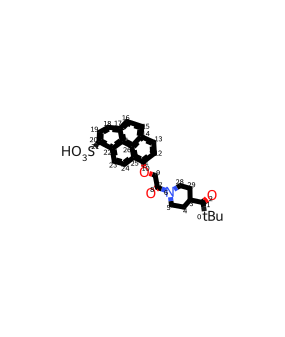 CC(C)(C)C(=O)C1CCN(C(=O)COc2ccc3ccc4ccc(S(=O)(=O)O)c5ccc2c3c45)CC1